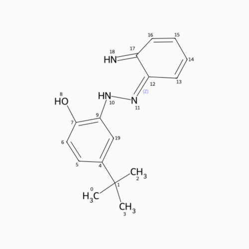 CC(C)(C)c1ccc(O)c(N/N=C2/C=CC=CC2=N)c1